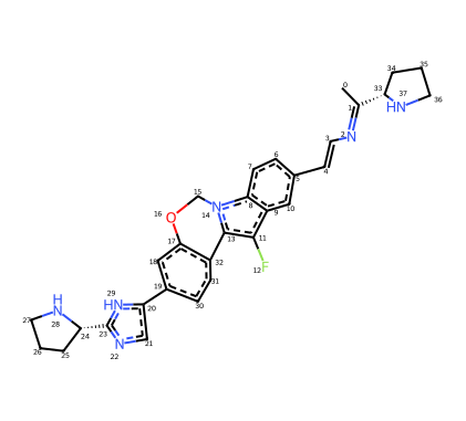 C/C(=N\C=C\c1ccc2c(c1)c(F)c1n2COc2cc(-c3cnc([C@@H]4CCCN4)[nH]3)ccc2-1)[C@@H]1CCCN1